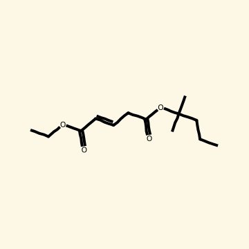 CCCC(C)(C)OC(=O)CC=CC(=O)OCC